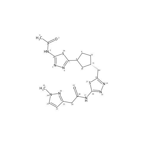 CC(=O)Nc1nnc(C2CC[C@H](Cc3nnc(NC(=O)Cc4ccn(C)n4)s3)C2)s1